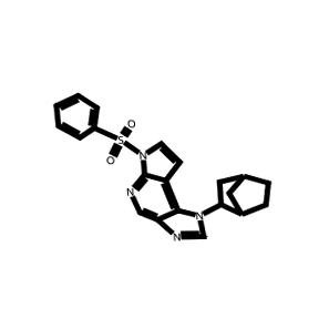 O=S(=O)(c1ccccc1)n1ccc2c3c(cnc21)n[c]n3C1CC2CCC1C2